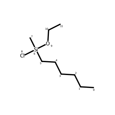 CCCCCC[Si](C)(Cl)OCC